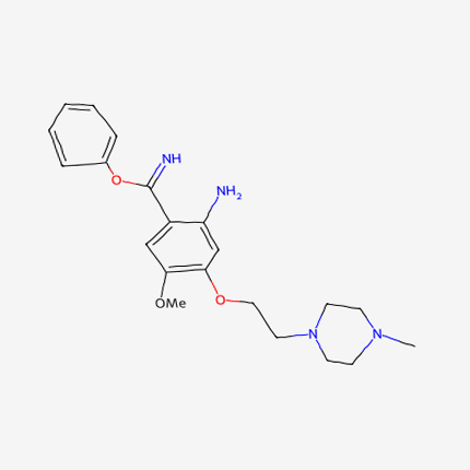 COc1cc(C(=N)Oc2ccccc2)c(N)cc1OCCN1CCN(C)CC1